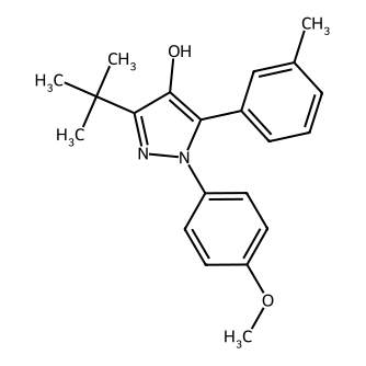 COc1ccc(-n2nc(C(C)(C)C)c(O)c2-c2cccc(C)c2)cc1